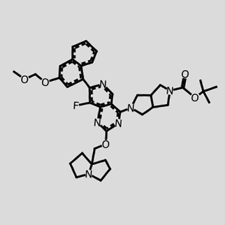 COCOc1cc(-c2ncc3c(N4CC5CN(C(=O)OC(C)(C)C)CC5C4)nc(OCC45CCCN4CCC5)nc3c2F)c2ccccc2c1